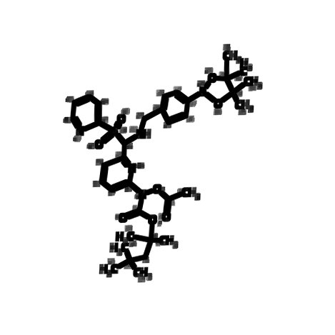 CC(=O)ON(C(=O)OC(C)(C)CC(C)(C)C)c1cccc(C(NCc2ccc(B3OC(C)(C)C(C)(C)O3)cc2)S(=O)(=O)c2ccccn2)n1